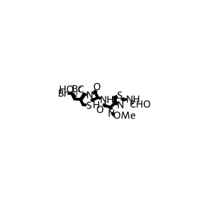 CO/N=C(/C(=O)NC1C(=O)N2C(C(=O)O)=C(C=C(Br)Br)CS[C@H]12)c1csc(NC=O)n1